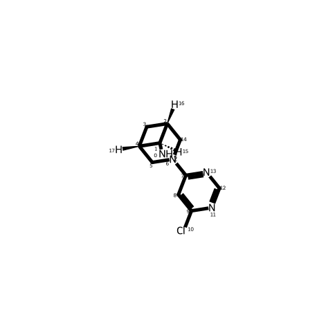 N[C@@H]1[C@@H]2C[C@H]1CN(c1cc(Cl)ncn1)C2